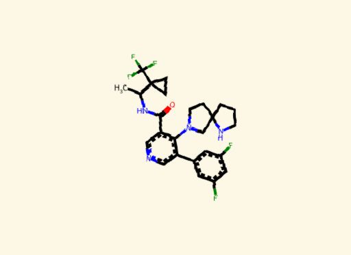 CC(NC(=O)c1cncc(-c2cc(F)cc(F)c2)c1N1CCC2(CCCN2)C1)C1(C(F)(F)F)CC1